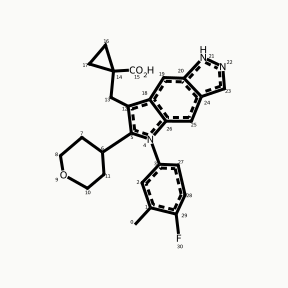 Cc1cc(-n2c(C3CCOCC3)c(CC3(C(=O)O)CC3)c3cc4[nH]ncc4cc32)ccc1F